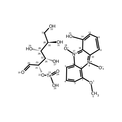 COc1cccc2c1[n+]([O-])c1cccc(O)c1[n+]2[O-].O=C[C@@H](O[Te](=O)O)[C@@H](O)[C@H](O)[C@H](O)CO